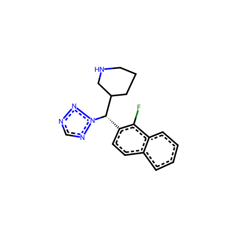 Fc1c([C@@H](C2CCCNC2)n2ncnn2)ccc2ccccc12